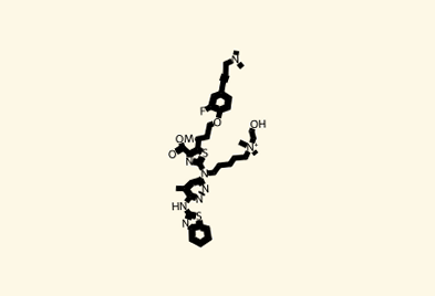 COC(=O)c1nc(N(CCCCC[N+](C)(C)CCO)c2cc(C)c(Nc3nc4ccccc4s3)nn2)sc1CCCOc1ccc(C#CCN(C)C)cc1F